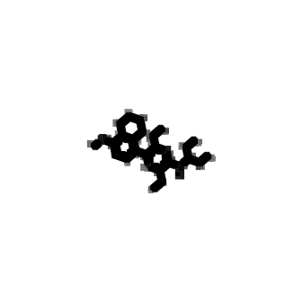 CCc1nc(-c2ccc(OC)c3c2CCCC3)c(CC)nc1NC(CC)CC